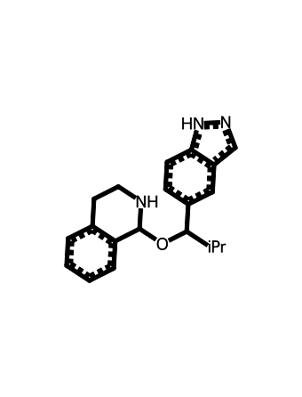 CC(C)C(OC1NCCc2ccccc21)c1ccc2[nH]ncc2c1